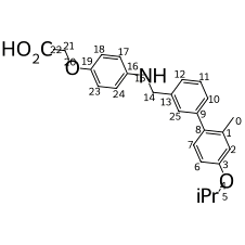 Cc1cc(OC(C)C)ccc1-c1cccc(CNc2ccc(OCC(=O)O)cc2)c1